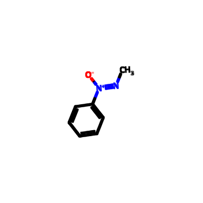 C/N=[N+](\[O-])c1ccccc1